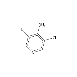 Nc1c(Cl)cncc1I